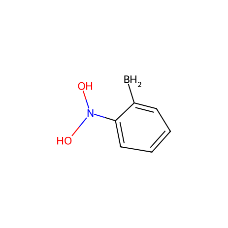 Bc1ccccc1N(O)O